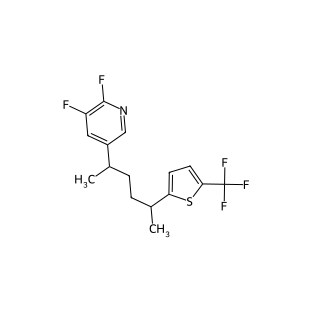 CC(CCC(C)c1ccc(C(F)(F)F)s1)c1cnc(F)c(F)c1